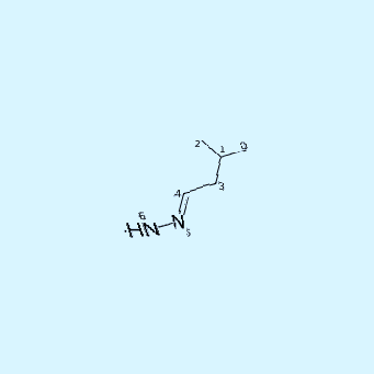 CC(C)CC=N[NH]